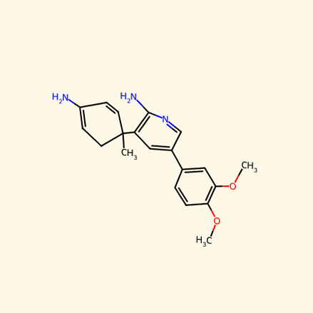 COc1ccc(-c2cnc(N)c(C3(C)C=CC(N)=CC3)c2)cc1OC